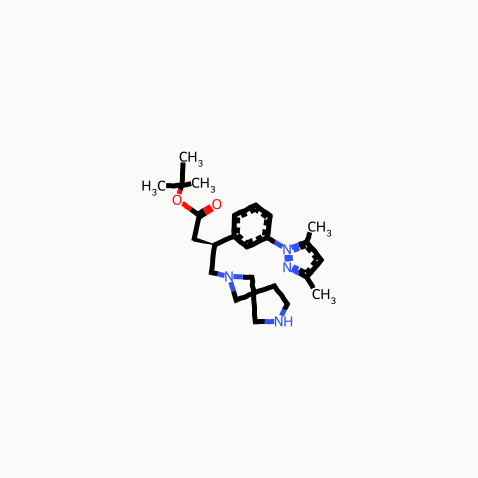 Cc1cc(C)n(-c2cccc([C@H](CC(=O)OC(C)(C)C)CN3CC4(CCNC4)C3)c2)n1